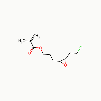 C=C(C)C(=O)OCCCC1OC1CCCl